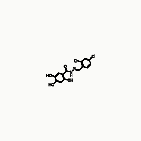 O=C(N/N=C/c1ccc(Cl)cc1Cl)c1cc(O)c(O)cc1O